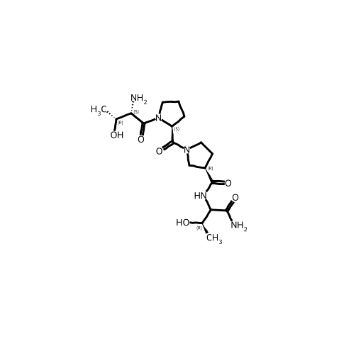 C[C@@H](O)C(NC(=O)[C@@H]1CCN(C(=O)[C@@H]2CCCN2C(=O)[C@@H](N)[C@@H](C)O)C1)C(N)=O